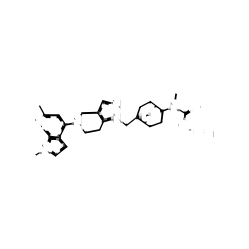 Cc1cc(N2CCc3c(cnn3CC34CCC(N(C)C(=O)OC(C)(C)C)(CC3)CC4)C2)c2ccn(C)c2n1